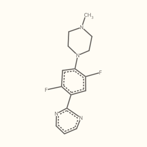 CN1CCN(c2cc(F)c(-c3ncccn3)cc2F)CC1